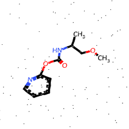 COCC(C)NC(=O)Oc1ccccn1